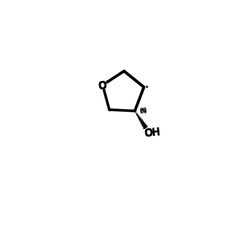 O[C@H]1[CH]COC1